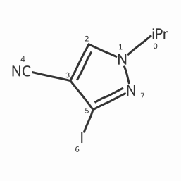 CC(C)n1cc(C#N)c(I)n1